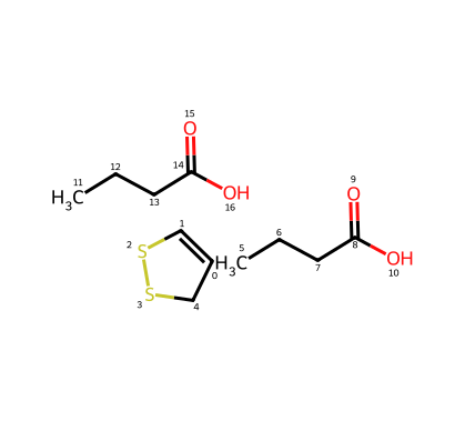 C1=CSSC1.CCCC(=O)O.CCCC(=O)O